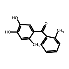 Cc1ccccc1C(=O)c1cc(O)c(O)cc1C